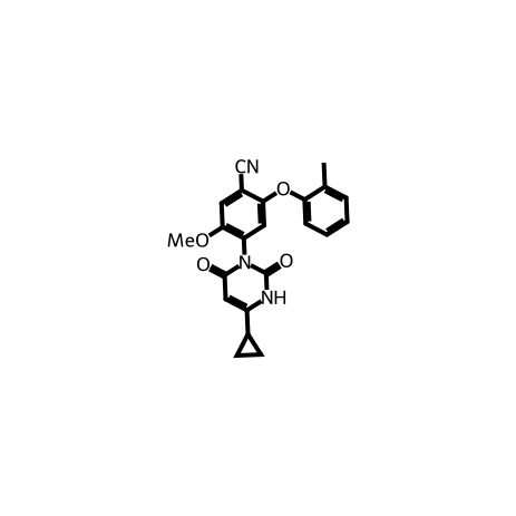 COc1cc(C#N)c(Oc2ccccc2C)cc1-n1c(=O)cc(C2CC2)[nH]c1=O